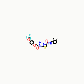 Cc1cccc(CNC(=O)c2csc(CNC(=O)COc3ccc(OC(F)(F)F)cc3)n2)c1C